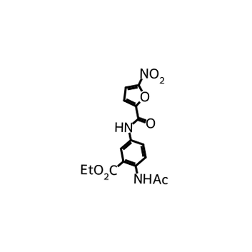 CCOC(=O)c1cc(NC(=O)c2ccc([N+](=O)[O-])o2)ccc1NC(C)=O